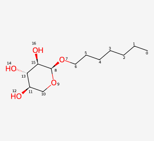 CCCCCCCO[C@H]1OC[C@@H](O)[C@H](O)[C@H]1O